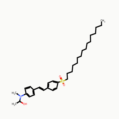 CCCCCCCCCCCCCCCCS(=O)(=O)c1ccc(C=Cc2ccc(N(C)C(C)O)cc2)cc1